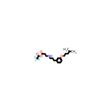 CC(C)CCCOc1cccc(CCCNCCC(=O)OC(=O)C(F)(F)F)c1